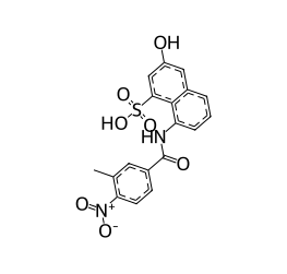 Cc1cc(C(=O)Nc2cccc3cc(O)cc(S(=O)(=O)O)c23)ccc1[N+](=O)[O-]